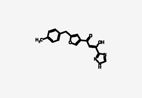 Cc1ccc(Cc2cc(C(=O)C=C(O)c3nc[nH]n3)co2)cc1